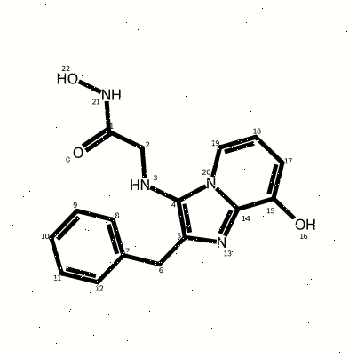 O=C(CNc1c(Cc2ccccc2)nc2c(O)cccn12)NO